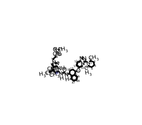 CC1CCC[C@H](C)N1c1nnc2ccc(OC3CCC(NC(=O)N/C(=C/C(=N)C(C)(C)C)Nc4ccn(CCOS(C)(=O)=O)n4)c4ccccc43)cn12